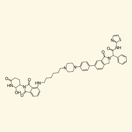 O=C1CCC(N2C(=O)c3cccc(NCCCCCCN4CCN(c5ccc(-c6ccc7c(c6)C(=O)N(C(C(=O)Nc6nccs6)c6ccccc6)C7)cc5)CC4)c3C2=O)C(O)N1